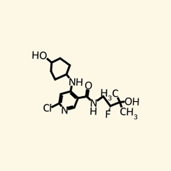 CC(C)(O)[C@H](F)CNC(=O)c1cnc(Cl)cc1NC1CCC(O)CC1